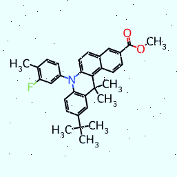 COC(=O)c1ccc2c3c(ccc2c1)N(c1ccc(C)c(F)c1)c1ccc(C(C)(C)C)cc1C3(C)C